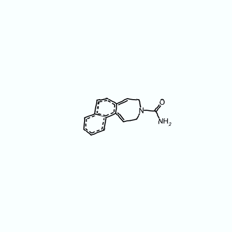 NC(=O)N1CC=c2ccc3ccccc3c2=CC1